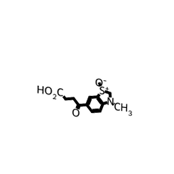 CN1C[S+]([O-])c2cc(C(=O)CCC(=O)O)ccc21